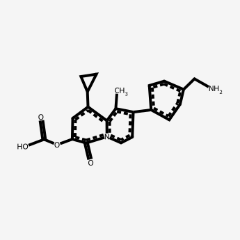 Cc1c(-c2ccc(CN)cc2)ccn2c(=O)c(OC(=O)O)cc(C3CC3)c12